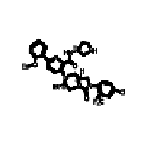 CCOc1ncccc1-c1ccc(N2C[C@H]3CN(c4ccc(Cl)cc4C(F)(F)F)C(=O)N3C[C@H]2CC)c(C(=O)N[C@@H]2CCNC2)n1